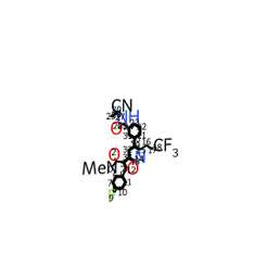 CNC(=O)c1c(-c2ccc(F)cc2)oc2nc(CCC(F)(F)F)c(-c3cccc(C(=O)N[C@@H](C)C#N)c3)cc12